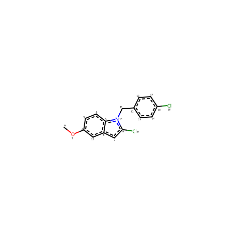 COc1ccc2c([c]c(Cl)n2Cc2ccc(Cl)cc2)c1